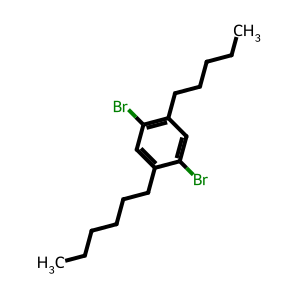 CCCCCCc1cc(Br)c(CCCCC)cc1Br